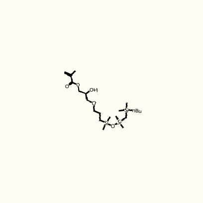 C=C(C)C(=O)OCC(O)COCCC[Si](C)(C)O[Si](C)(C)C[Si](C)(C)CCCC